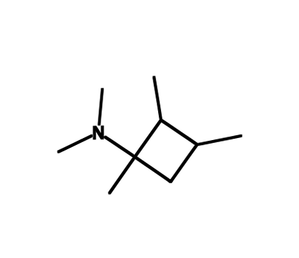 CC1CC(C)(N(C)C)C1C